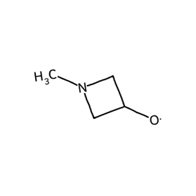 CN1CC([O])C1